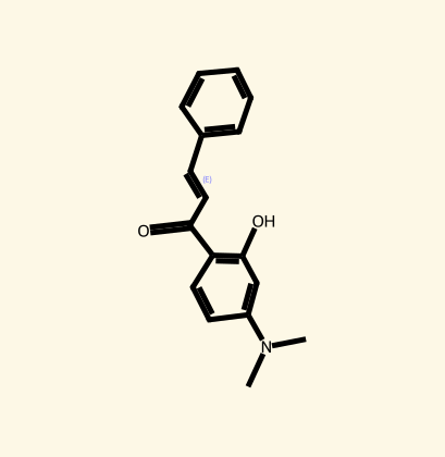 CN(C)c1ccc(C(=O)/C=C/c2ccccc2)c(O)c1